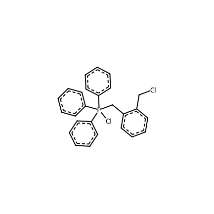 ClCc1ccccc1CP(Cl)(c1ccccc1)(c1ccccc1)c1ccccc1